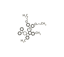 CCCCOc1ccc(C2(c3ccc(OCCCC)cc3)C=Cc3c4c(c5ccc(C)cc5c3O2)-c2ccc(C)cc2C42CCC(c3ccccc3)(c3ccccc3)CC2)cc1